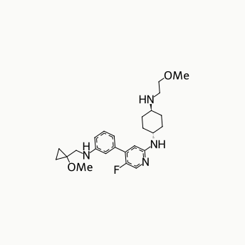 COCCN[C@H]1CC[C@H](Nc2cc(-c3cccc(NCC4(OC)CC4)c3)c(F)cn2)CC1